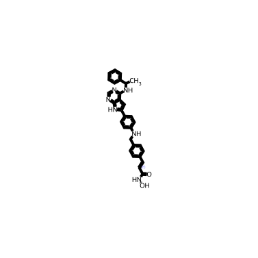 CC(Nc1ncnc2[nH]c(-c3ccc(NCc4ccc(/C=C/C(=O)NO)cc4)cc3)cc12)c1ccccc1